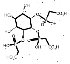 O=C(O)CP(=O)(O)O[C@@H]1[C@@H](OP(=O)(O)CC(=O)O)[C@H](O)[C@@H](O)[C@H](O)[C@@H]1OP(=O)(O)CC(=O)O